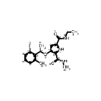 CCNC(=O)c1cc(OC(C)c2c(C)cccc2F)c(C(=O)NC)[nH]1